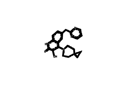 N#Cc1c(N2CCC3(CC2)CC3)c2cc(Cc3ncccn3)ccc2[nH]c1=O